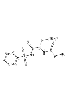 C#CC[C@H](NC(=O)OC(C)(C)C)C(=O)NS(=O)(=O)c1ccccc1